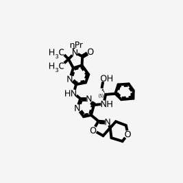 CCCN1C(=O)c2ccc(Nc3ncc(C4=NC5(CCOCC5)CO4)c(N[C@H](CO)c4ccccc4)n3)nc2C1(C)C